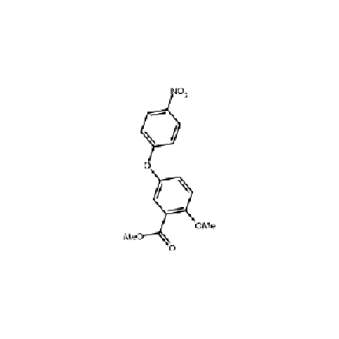 COC(=O)c1cc(Oc2ccc([N+](=O)[O-])cc2)ccc1OC